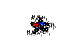 CC(C)(C)c1ccc(Nc2ccc(C(C)(C)C)cc2-c2cc(-c3ccccc3)cc3c2Cc2cc4c(cc2N3c2ccc(C(C)(C)C)cc2-c2ccccc2)C(C)(C)c2ccccc2-4)cc1